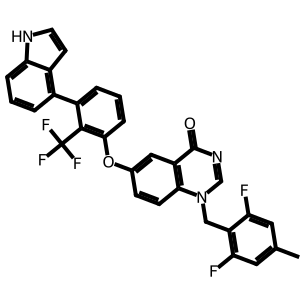 Cc1cc(F)c(Cn2cnc(=O)c3cc(Oc4cccc(-c5cccc6[nH]ccc56)c4C(F)(F)F)ccc32)c(F)c1